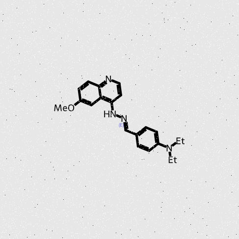 CCN(CC)c1ccc(/C=N/Nc2ccnc3ccc(OC)cc23)cc1